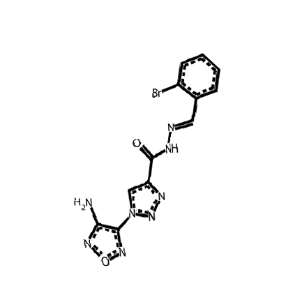 Nc1nonc1-n1cc(C(=O)NN=Cc2ccccc2Br)nn1